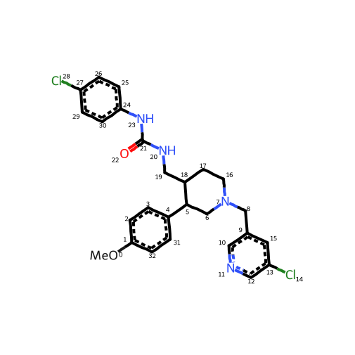 COc1ccc(C2CN(Cc3cncc(Cl)c3)CCC2CNC(=O)Nc2ccc(Cl)cc2)cc1